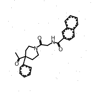 CC(=O)C1(c2ccccc2)CCN(C(=O)CNC(=O)c2ccc3ccccc3c2)CC1